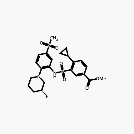 COC(=O)c1ccc(C2CC2)c(S(=O)(=O)Nc2cc(S(C)(=O)=O)ccc2N2CCC[C@@H](F)C2)c1